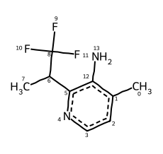 Cc1ccnc(C(C)C(F)(F)F)c1N